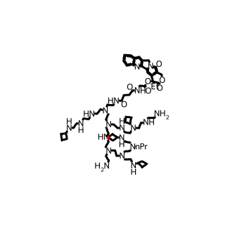 CCCN(CCNC1CCC1)CCN(CCNC1CCC1)CCN(CCN)CCNCCN(CCNCCN(CCNCCN)C1CCC1)CCN(CCNCCNCCNC1CCC1)CCNC(=O)CCC(=O)NCC(=O)O[C@]1(CC)C(=O)OCc2c1cc1n(c2=O)Cc2cc3ccccc3nc2-1